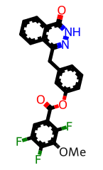 COc1c(F)c(F)cc(C(=O)Oc2cccc(Cc3n[nH]c(=O)c4ccccc34)c2)c1F